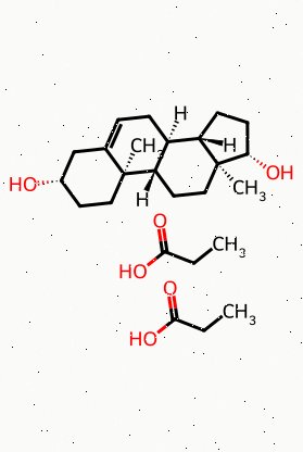 CCC(=O)O.CCC(=O)O.C[C@]12CC[C@H]3[C@@H](CC=C4C[C@@H](O)CC[C@@]43C)[C@@H]1CC[C@@H]2O